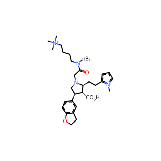 CCCCN(CCCC[N+](C)(C)C)C(=O)CN1C[C@H](c2ccc3c(c2)CCO3)[C@@H](C(=O)O)[C@@H]1CCc1cccn1C